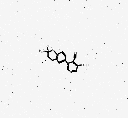 C#Cc1c(C(=O)O)cncc1-c1ccc2c(c1)CCC(C)(C)S2